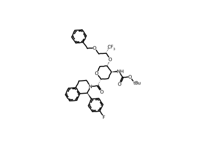 CC(C)(C)OC(=O)N[C@H]1C[C@H](C(=O)N2CCc3ccccc3[C@@H]2c2ccc(F)cc2)OC[C@@H]1O[C@H](COCc1ccccc1)C(F)(F)F